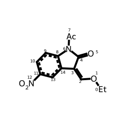 CCOC=C1C(=O)N(C(C)=O)c2ccc([N+](=O)[O-])cc21